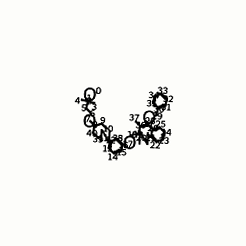 COC(C)(C)CCOC1CCN(c2cccc(OCc3nc4ccccc4c(OCc4ccccc4)c3C)c2)CC1